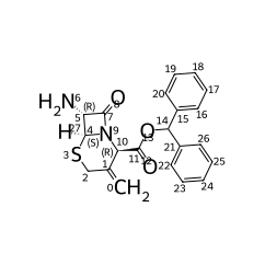 C=C1CS[C@H]2[C@H](N)C(=O)N2[C@H]1C(=O)OC(c1ccccc1)c1ccccc1